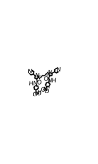 O=C(Nc1ccc([N+](=O)[O-])cc1)c1cc(-c2ccncc2)nn1CCCCn1nc(-c2ccncc2)cc1C(=O)Nc1ccc([N+](=O)[O-])cc1